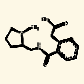 CN1CCCC1CNC(=O)c1ccccc1CC(=O)C(C)(C)C